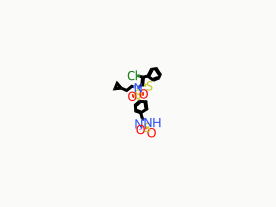 O=S1NC(c2ccc(S(=O)(=O)N(CCC3CC3)c3sc4ccccc4c3Cl)cc2)=NO1